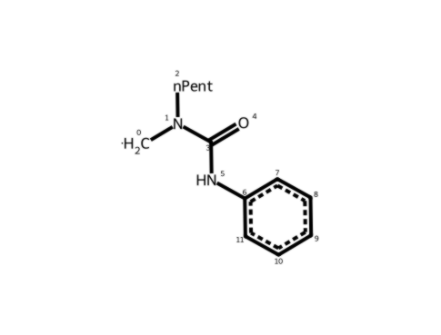 [CH2]N(CCCCC)C(=O)Nc1ccccc1